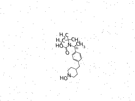 C[C@@H](c1ccc(CC2CCN(O)CC2)cc1)N(C(=O)O)C(C)(C)C